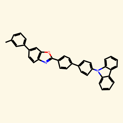 Cc1cccc(-c2ccc3nc(-c4ccc(-c5ccc(-n6c7ccccc7c7ccccc76)cc5)cc4)oc3c2)c1